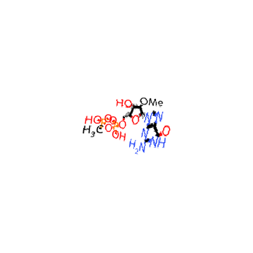 COC1[C@@H](O)[C@@H](COP(=O)(O)OP(C)(=O)O)O[C@H]1n1cnc2c(=O)[nH]c(N)nc21